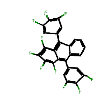 Fc1cc(-c2c3ccccc3c(-c3cc(F)c(F)c(F)c3)c3c(F)c(F)c(F)c(F)c23)cc(F)c1F